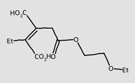 CCOCCOC(=O)CC(C(=O)O)=C(CC)C(=O)O